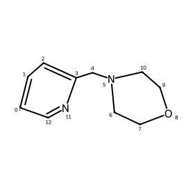 [c]1ccc(CN2CCOCC2)nc1